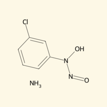 N.O=NN(O)c1cccc(Cl)c1